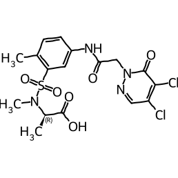 Cc1ccc(NC(=O)Cn2ncc(Cl)c(Cl)c2=O)cc1S(=O)(=O)N(C)[C@H](C)C(=O)O